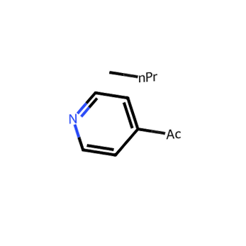 CC(=O)c1ccncc1.CCCC